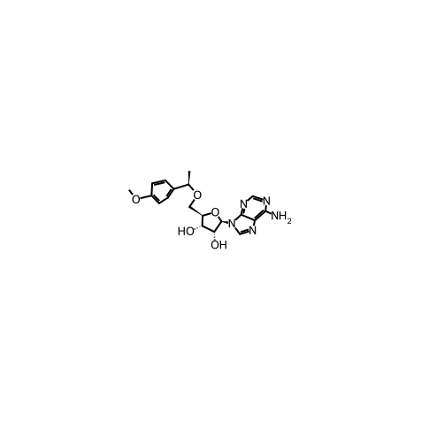 COc1ccc([C@@H](C)OC[C@H]2O[C@@H](n3cnc4c(N)ncnc43)[C@H](O)[C@@H]2O)cc1